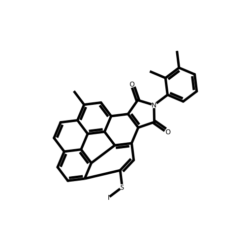 Cc1cccc(-n2c(=O)c3c4cc(C)c5ccc6ccc7c(SI)cc(c3c2=O)c2c7c6c5c42)c1C